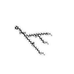 CCCCCCCCCOC(=O)CCCCCCCN(CCCCCCCC(=O)OC(CCCCCCCC)CCCCCCCC)CCCNC(=O)COCc1ccccc1